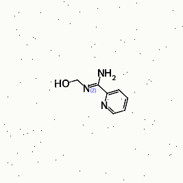 N/C(=N\CO)c1ccccn1